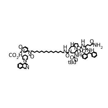 CC(C)(C)OC(=O)N[C@H]1CN(C(=O)NCCCCCCCCCCCCCCN(C(=O)[C@H]2CCCN(c3cncc4ccccc34)C2)c2ccc(=O)n(CC(=O)O)c2)CC[C@H]2CC[C@@H](C(=O)NC(CCC(N)=O)C(=O)NC(c3ccccc3)c3ccccc3)N2C1=O